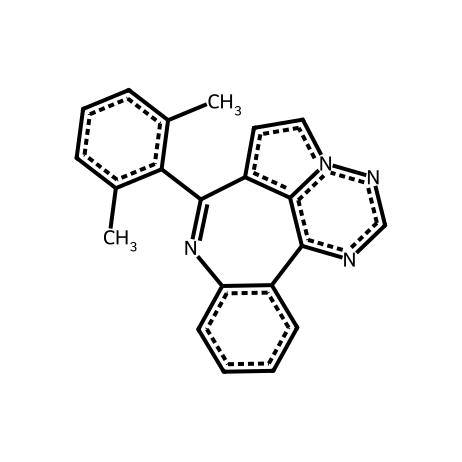 Cc1cccc(C)c1C1=Nc2ccccc2-c2ncnn3ccc1c23